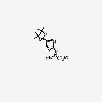 CCOC(=O)N(Nc1ncc(B2OC(C)(C)C(C)(C)O2)cn1)C(C)(C)C